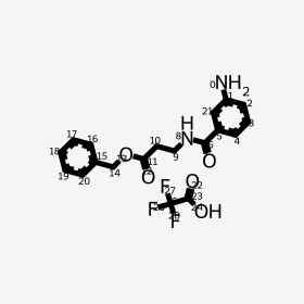 Nc1cccc(C(=O)NCCC(=O)OCc2ccccc2)c1.O=C(O)C(F)(F)F